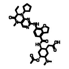 CC[C@@H]1C(=O)N(C)c2cnc(Nc3ccc(C(=O)N[C@@H]4C[C@@H](OC(C)=O)[C@H](N(C)C)C[C@@H]4CC(=O)O)c4c3OCC4)nc2N1C1CCCC1